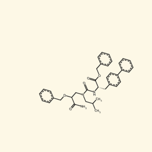 CC(C)CN(CC(OCc1ccccc1)C(N)=O)C(=O)N[C@@H](Cc1ccc(-c2ccccc2)cc1)C(=O)OCc1ccccc1